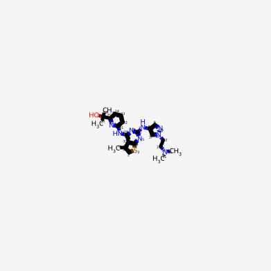 Cc1csc2nc(Nc3cnn(CCN(C)C)c3)nc(Nc3cccc(C(C)(C)O)n3)c12